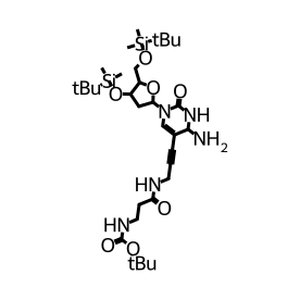 CC(C)(C)OC(=O)NCCC(=O)NCC#CC1=CN(C2CC(O[Si](C)(C)C(C)(C)C)C(CO[Si](C)(C)C(C)(C)C)O2)C(=O)NC1N